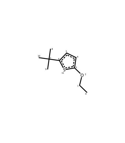 CCOc1ccc(C(C)(C)C)s1